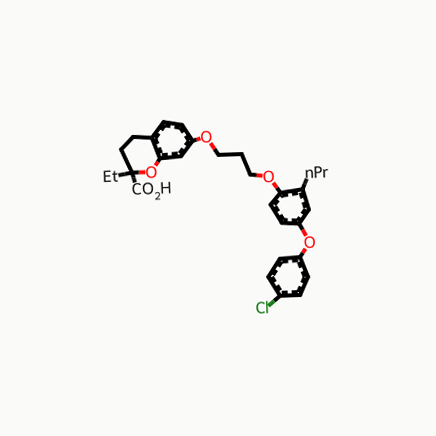 CCCc1cc(Oc2ccc(Cl)cc2)ccc1OCCCOc1ccc2c(c1)OC(CC)(C(=O)O)CC2